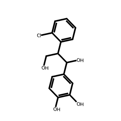 OCC(c1ccccc1Cl)C(O)c1ccc(O)c(O)c1